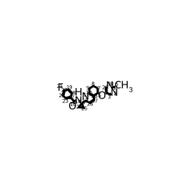 Cc1ncc(O[C@@H]2CCCc3nc(C4(NC(=O)c5ccc(F)cc5)CC4)ccc32)cn1